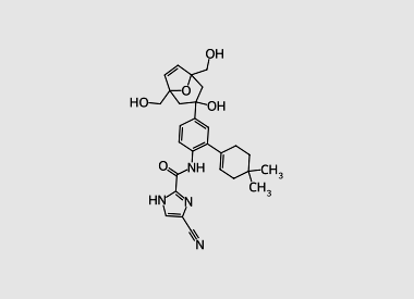 CC1(C)CC=C(c2cc(C3(O)CC4(CO)C=CC(CO)(C3)O4)ccc2NC(=O)c2nc(C#N)c[nH]2)CC1